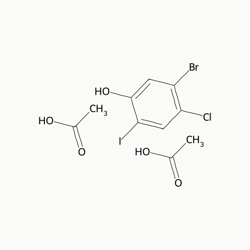 CC(=O)O.CC(=O)O.Oc1cc(Br)c(Cl)cc1I